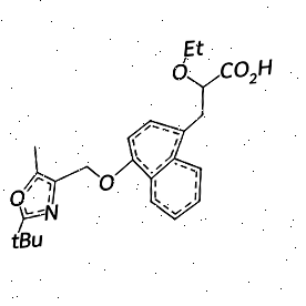 CCOC(Cc1ccc(OCc2nc(C(C)(C)C)oc2C)c2ccccc12)C(=O)O